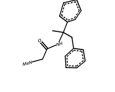 CNCC(=O)NC(C)(Cc1ccccc1)c1ccccc1